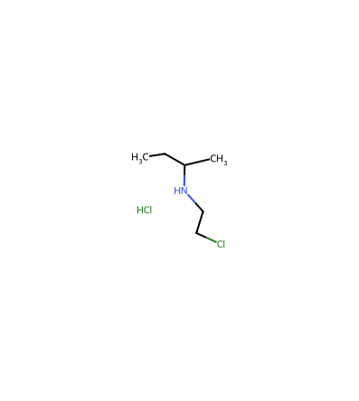 CCC(C)NCCCl.Cl